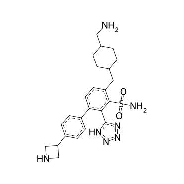 NCC1CCC(Cc2ccc(-c3ccc(C4CNC4)cc3)c(-c3nnn[nH]3)c2S(N)(=O)=O)CC1